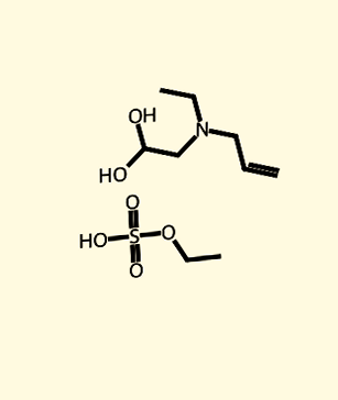 C=CCN(CC)CC(O)O.CCOS(=O)(=O)O